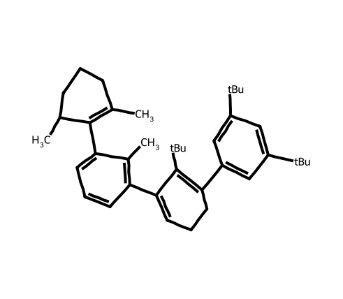 CC1=C(c2cccc(C3=CCCC(c4cc(C(C)(C)C)cc(C(C)(C)C)c4)=C3C(C)(C)C)c2C)C(C)CCC1